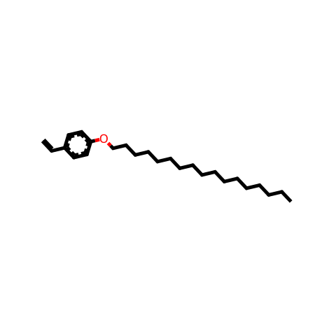 C=Cc1ccc(OCCCCCCCCCCCCCCCCC)cc1